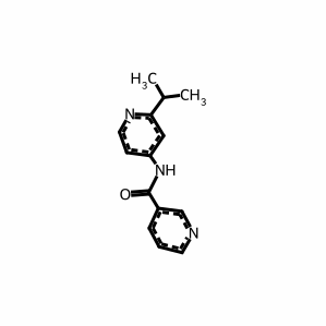 CC(C)c1cc(NC(=O)c2cccnc2)ccn1